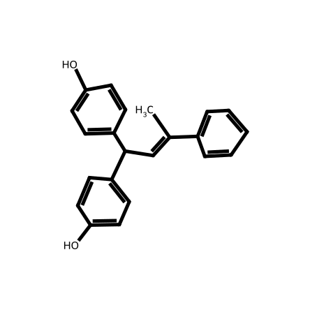 CC(=CC(c1ccc(O)cc1)c1ccc(O)cc1)c1ccccc1